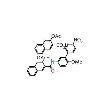 CC(=O)Oc1cc2ccccc2cc1C(=O)O.CCN(C(=O)c1cc2ccccc2cc1OC(C)=O)c1ccc(OC)c(-c2ccc([N+](=O)[O-])cc2)c1